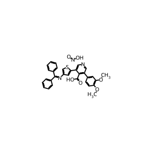 COc1ccc(-c2cncc(-c3cc(N=C(c4ccccc4)c4ccccc4)cs3)c2C(=O)O)cc1OC.O=NO